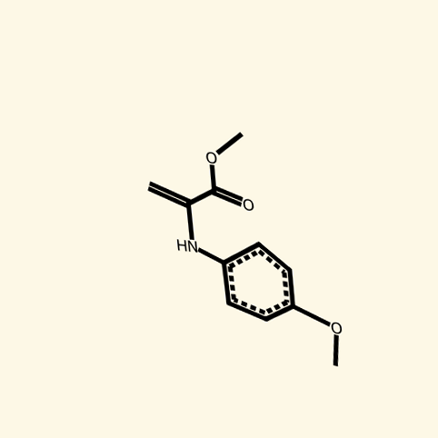 C=C(Nc1ccc(OC)cc1)C(=O)OC